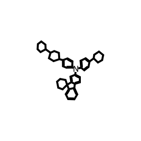 c1ccc2c(c1)-c1ccc(N(c3ccc(C4CCCCC4)cc3)c3ccc(C4CCC(C5CCCCC5)CC4)cc3)cc1C21CCCCC1